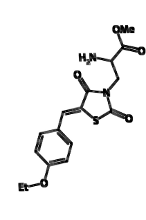 CCOc1ccc(/C=C2\SC(=O)N(CC(N)C(=O)OC)C2=O)cc1